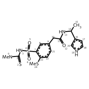 CNC(=S)NS(=O)(=O)c1cc(CC(=O)NC(C)c2cc[nH]c2)ccc1SC